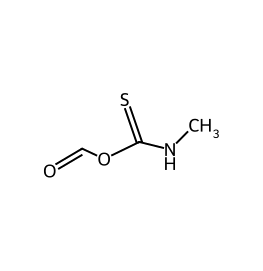 CNC(=S)OC=O